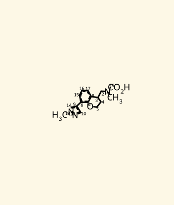 CN(CC1CCOc2c(-c3cnn(C)c3)cccc21)C(=O)O